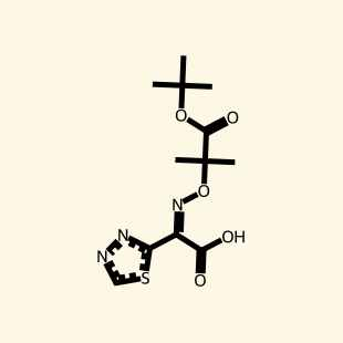 CC(C)(C)OC(=O)C(C)(C)ON=C(C(=O)O)c1nncs1